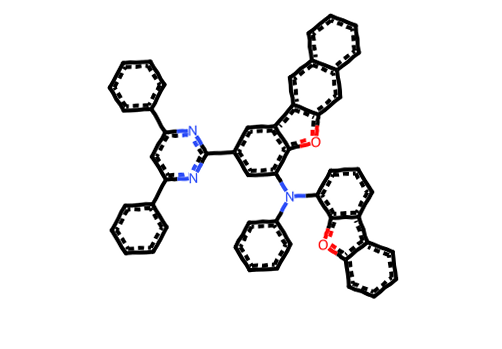 c1ccc(-c2cc(-c3ccccc3)nc(-c3cc(N(c4ccccc4)c4cccc5c4oc4ccccc45)c4oc5cc6ccccc6cc5c4c3)n2)cc1